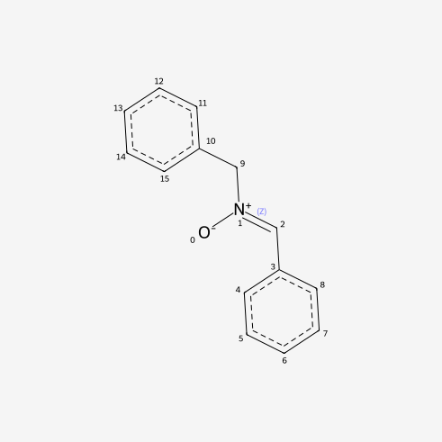 [O-]/[N+](=C\c1ccccc1)Cc1ccccc1